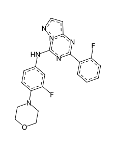 Fc1ccccc1-c1nc(Nc2ccc(N3CCOCC3)c(F)c2)n2nccc2n1